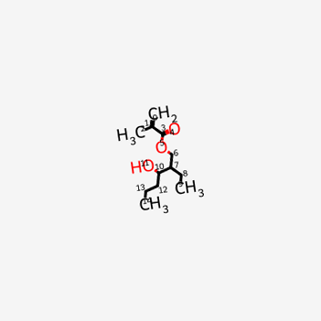 C=C(C)C(=O)OCC(CC)C(O)CCC